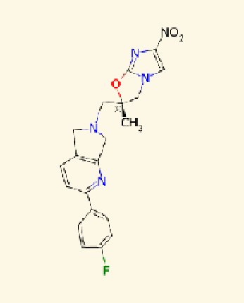 C[C@]1(CN2Cc3ccc(-c4ccc(F)cc4)nc3C2)Cn2cc([N+](=O)[O-])nc2O1